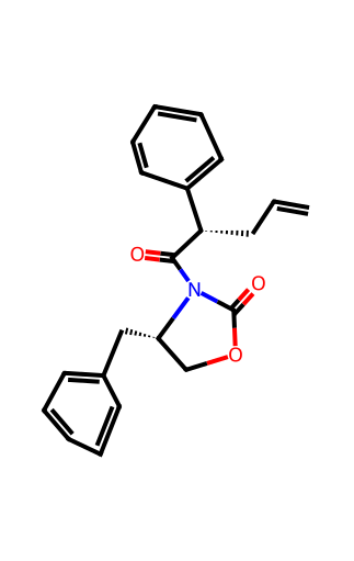 C=CC[C@H](C(=O)N1C(=O)OC[C@@H]1Cc1ccccc1)c1ccccc1